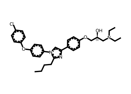 CCCCc1nc(-c2ccc(OC[C@@H](O)CN(CC)CC)cc2)cn1-c1ccc(Oc2ccc(Cl)cc2)cc1